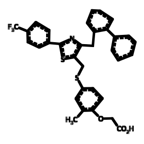 Cc1cc(SCc2sc(-c3ccc(C(F)(F)F)cc3)nc2Cc2ccccc2-c2ccccc2)ccc1OCC(=O)O